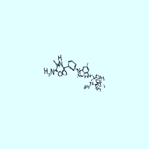 Cc1cc(NCC(O)(CN(C(=O)C(C)C)C(C)C)C(F)(F)F)c2cnn(-c3cccc(C(=O)N[C@H](C)C(N)=O)c3)c2c1